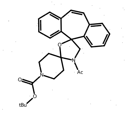 CC(=O)N1CC2(OC13CCN(C(=O)OC(C)(C)C)CC3)c1ccccc1C=Cc1ccccc12